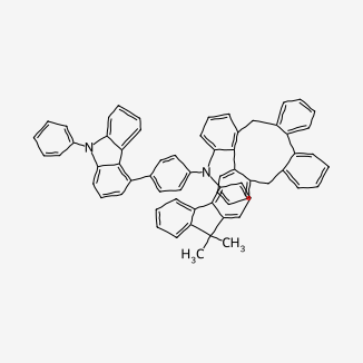 CC1(C)c2ccccc2-c2c(N(c3ccc(-c4cccc5c4c4ccccc4n5-c4ccccc4)cc3)c3cccc4c3-c3ccccc3Cc3ccccc3-c3ccccc3C4)cccc21